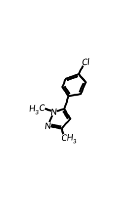 Cc1cc(-c2ccc(Cl)cc2)n(C)n1